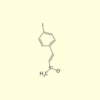 C[S+]([O-])/C=C/c1ccc(I)cc1